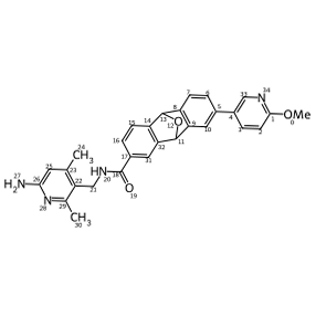 COc1ccc(-c2ccc3c(c2)C2OC3c3ccc(C(=O)NCc4c(C)cc(N)nc4C)cc32)cn1